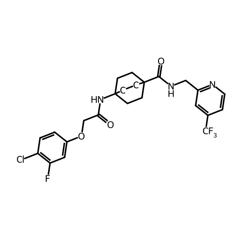 O=C(COc1ccc(Cl)c(F)c1)NC12CCC(C(=O)NCc3cc(C(F)(F)F)ccn3)(CC1)CC2